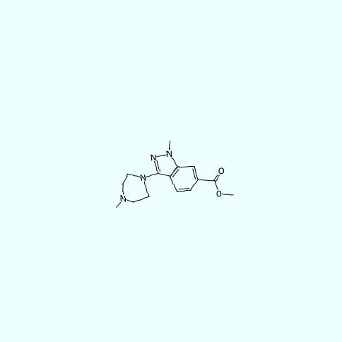 COC(=O)c1ccc2c(N3CCN(C)CC3)nn(C)c2c1